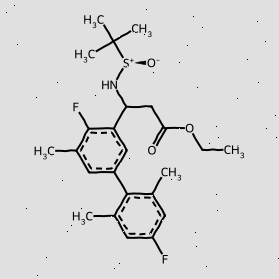 CCOC(=O)CC(N[S@+]([O-])C(C)(C)C)c1cc(-c2c(C)cc(F)cc2C)cc(C)c1F